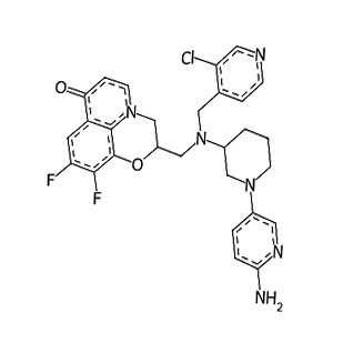 Nc1ccc(N2CCCC(N(Cc3ccncc3Cl)CC3Cn4ccc(=O)c5cc(F)c(F)c(c54)O3)C2)cn1